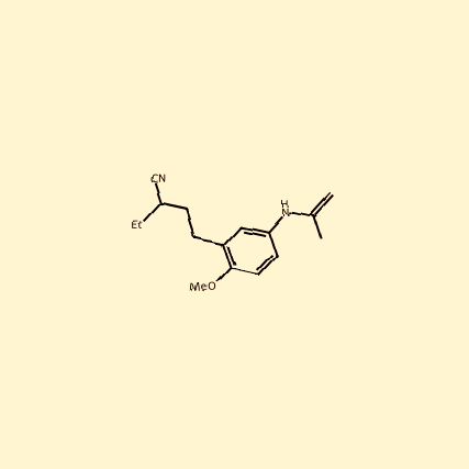 C=C(C)Nc1ccc(OC)c(CCC(C#N)CC)c1